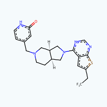 O=c1cc(CN2CC[C@@H]3CN(c4ncnc5sc(CC(F)(F)F)cc45)C[C@@H]3C2)cc[nH]1